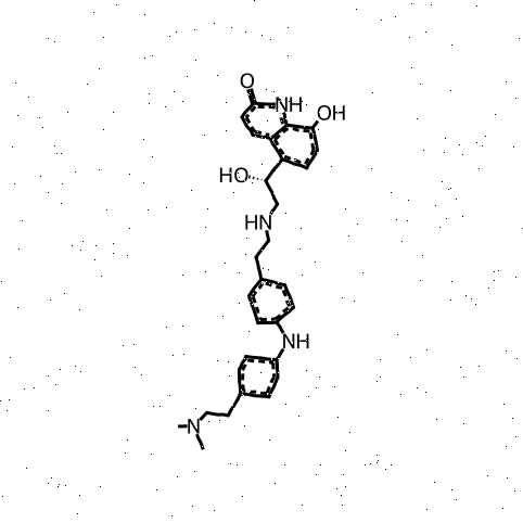 CN(C)CCc1ccc(Nc2ccc(CCNC[C@H](O)c3ccc(O)c4[nH]c(=O)ccc34)cc2)cc1